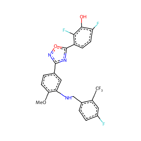 COc1ccc(-c2noc(-c3ccc(F)c(O)c3F)n2)cc1NCc1ccc(F)cc1C(F)(F)F